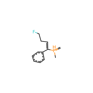 C=[PH](C)/C(=C/CCF)c1ccccc1